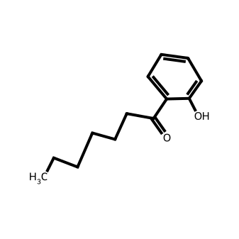 CCCCCCC(=O)c1ccccc1O